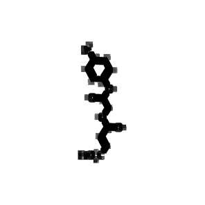 CCOC(=O)C=CC(=O)OCC(=O)Oc1ccc(Br)cc1